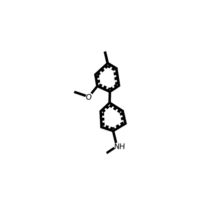 CNc1ccc(-c2ccc(C)cc2OC)cc1